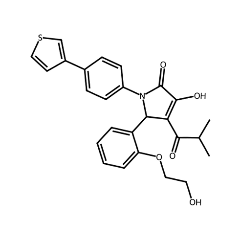 CC(C)C(=O)C1=C(O)C(=O)N(c2ccc(-c3ccsc3)cc2)C1c1ccccc1OCCO